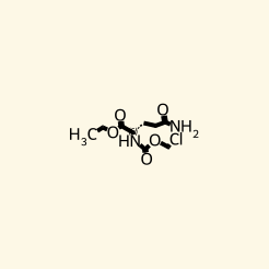 CCOC(=O)[C@H](CCC(N)=O)NC(=O)OCCl